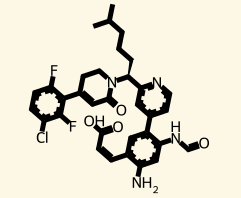 CC(C)CCC[C@@H](c1cc(-c2cc(/C=C\C(=O)O)c(N)cc2NC=O)ccn1)N1CCC(c2c(F)ccc(Cl)c2F)=CC1=O